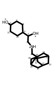 OC1CCC(C(O)CNCC23CC4CC(CC(C4)C2)C3)CC1